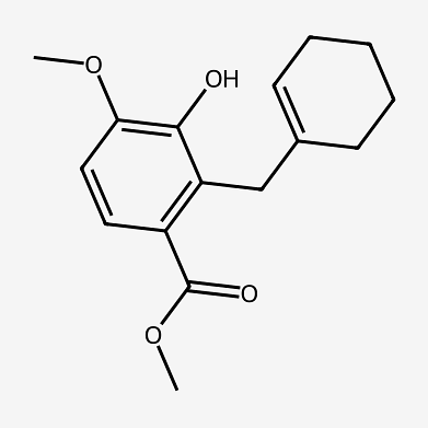 COC(=O)c1ccc(OC)c(O)c1CC1=CCCCC1